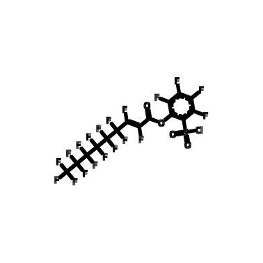 O=C(Oc1c(F)c(F)c(F)c(F)c1S(=O)(=O)Cl)C(F)=C(F)C(F)(F)C(F)(F)C(F)(F)C(F)(F)C(F)(F)C(F)(F)F